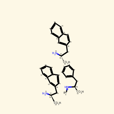 CC(C)N[C@@H](Cc1ccccc1)C(=O)O.N[C@@H](Cc1ccc2ccccc2c1)C(=O)O.N[C@H](Cc1ccc2ccccc2c1)C(=O)O